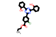 CCCOC(=O)c1ccc(-c2nc(-c3ccccc3O)nc(-c3ccccc3O)n2)cc1Cl